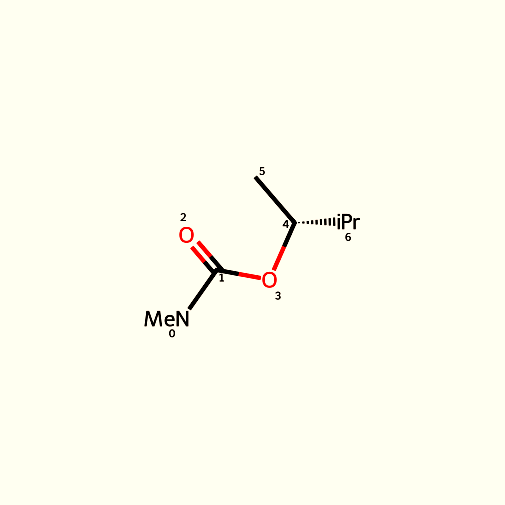 CNC(=O)O[C@H](C)C(C)C